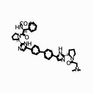 CN(C)CC(=O)N1CCC[C@H]1c1ncc(-c2ccc(-c3ccc(-c4cnc([C@@H]5CCCN5C(=O)[C@H](NC(=O)O)c5ccccc5)[nH]4)cc3)cc2)[nH]1